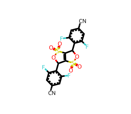 N#Cc1cc(F)c(C2OS(=O)(=O)C3=C2S(=O)(=O)OC3c2c(F)cc(C#N)cc2F)c(F)c1